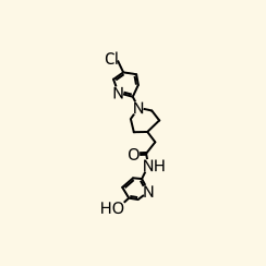 O=C(CC1CCN(c2ccc(Cl)cn2)CC1)Nc1ccc(O)cn1